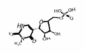 Cn1c(=O)[nH]cc([C@@H]2OC(COP(=O)(O)O)[C@@H](O)[C@H]2O)c1=O